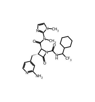 CN(C(=O)[C@@H]1[C@@H](Cc2ccnc(N)c2)C(=O)N1C(=O)NC(C1CCCCC1)C(F)(F)F)c1nccn1C